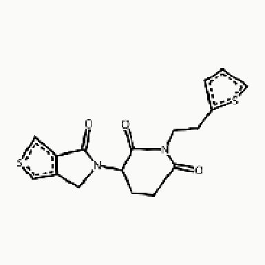 O=C1CCC(N2Cc3cscc3C2=O)C(=O)N1CCc1cccs1